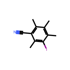 Cc1c(C)c(I)c(C)c(C#N)c1C